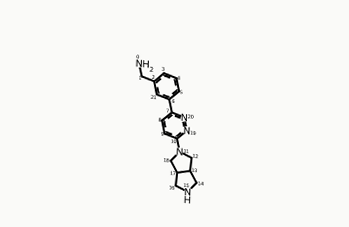 NCc1cccc(-c2ccc(N3CC4CNCC4C3)nn2)c1